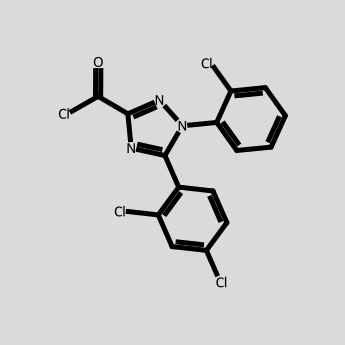 O=C(Cl)c1nc(-c2ccc(Cl)cc2Cl)n(-c2ccccc2Cl)n1